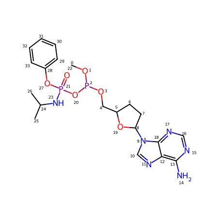 COP(OCC1CCC(n2cnc3c(N)ncnc32)O1)OP(=O)(NC(C)C)Oc1ccccc1